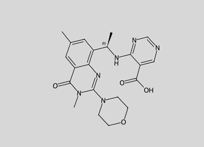 Cc1cc([C@@H](C)Nc2ncncc2C(=O)O)c2nc(N3CCOCC3)n(C)c(=O)c2c1